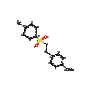 COc1ccc(CCS(=O)(=O)c2ccc(C#N)cc2)cc1